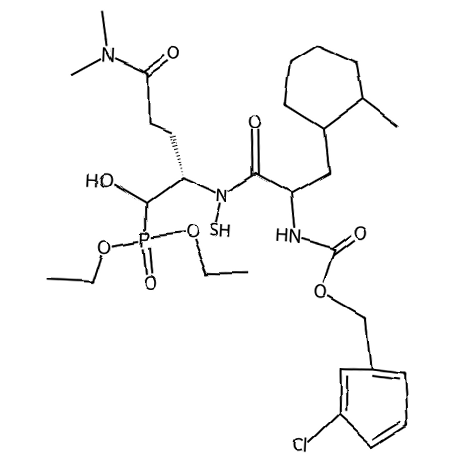 CCOP(=O)(OCC)C(O)[C@H](CCC(=O)N(C)C)N(S)C(=O)C(CC1CCCCC1C)NC(=O)OCc1cccc(Cl)c1